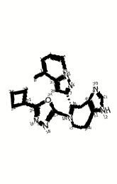 Cc1cccn2nc([C@@H]3c4nc[nH]c4CCN3c3nnc(C4CCC4)o3)cc12